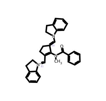 CN(C(=O)c1ccccc1)C1=C(/C=[N+]2\CCc3ccccc32)CC/C1=C\N1CCc2ccccc21